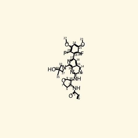 C=CC(=O)N[C@H]1CCOC[C@H]1Nc1ncc2cc(-c3c(F)c(OC)cc(OC)c3F)nc(N3CC(C)(O)C3)c2n1